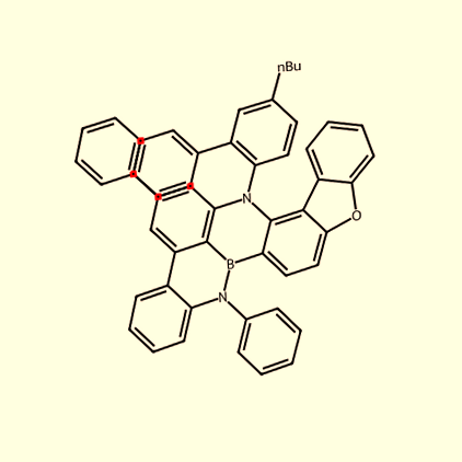 CCCCc1ccc(N2c3cc(-c4ccccc4)cc4c3B(c3ccc5oc6ccccc6c5c32)N(c2ccccc2)c2ccccc2-4)c(-c2ccccc2)c1